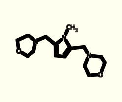 Cn1c(CN2CCOCC2)ccc1CN1CCOCC1